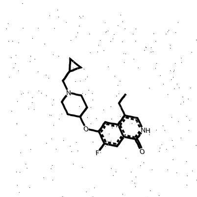 CCc1c[nH]c(=O)c2cc(F)c(OC3CCN(CC4CC4)CC3)cc12